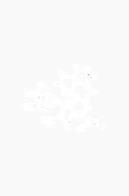 Cc1[nH]c2c(C(N)=O)cc(F)c(-c3cccc4c3CNCC4)c2c1C.O=C(O)C(F)(F)F